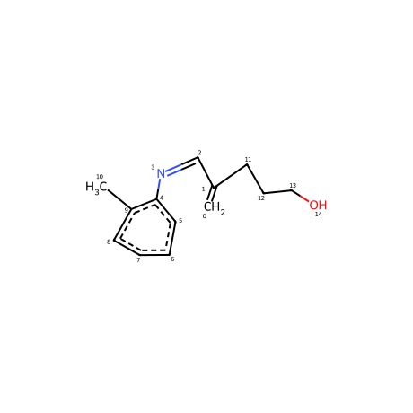 C=C(/C=N\c1ccccc1C)CCCO